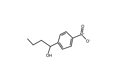 CCCC(O)c1ccc([N+](=O)[O-])cc1